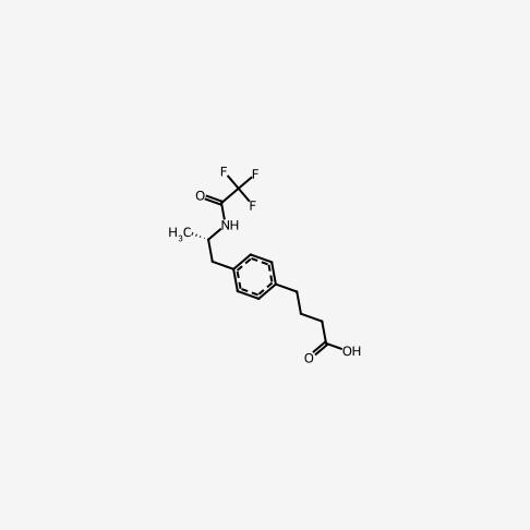 C[C@@H](Cc1ccc(CCCC(=O)O)cc1)NC(=O)C(F)(F)F